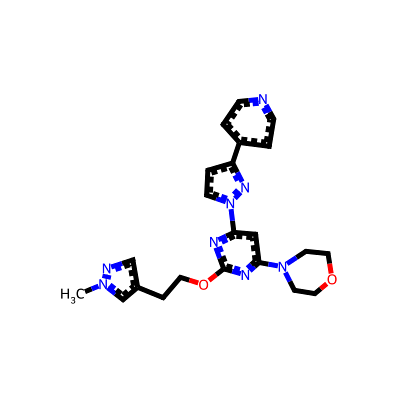 Cn1cc(CCOc2nc(N3CCOCC3)cc(-n3ccc(-c4ccncc4)n3)n2)cn1